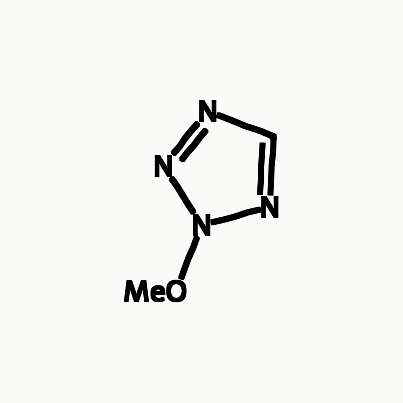 COn1ncnn1